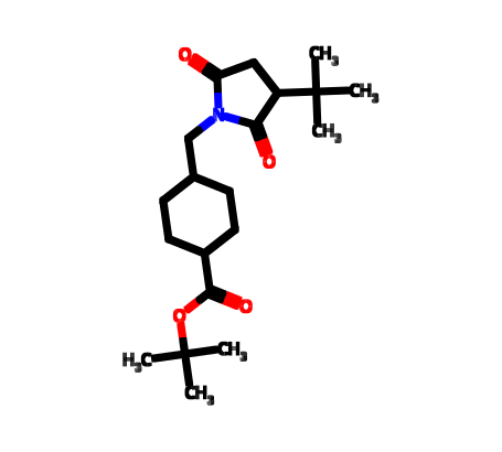 CC(C)(C)OC(=O)C1CCC(CN2C(=O)CC(C(C)(C)C)C2=O)CC1